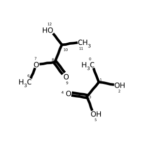 CC(O)C(=O)O.COC(=O)C(C)O